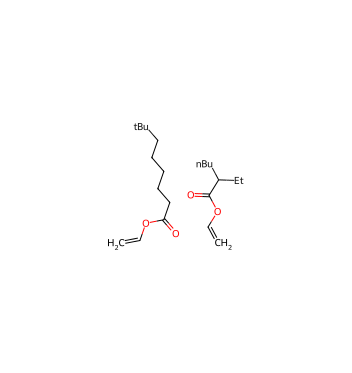 C=COC(=O)C(CC)CCCC.C=COC(=O)CCCCCC(C)(C)C